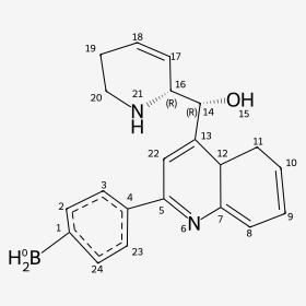 Bc1ccc(C2=NC3=CC=CCC3C([C@@H](O)[C@H]3C=CCCN3)=C2)cc1